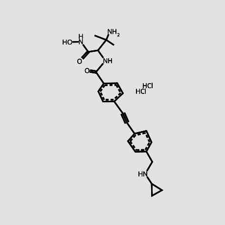 CC(C)(N)C(NC(=O)c1ccc(C#Cc2ccc(CNC3CC3)cc2)cc1)C(=O)NO.Cl.Cl